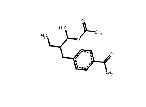 CCC(Cc1ccc(C(C)=O)cc1)C(C)OC(C)=O